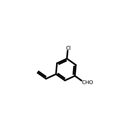 C=Cc1cc(Cl)cc(C=O)c1